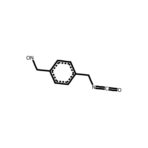 O=C=NCc1ccc(CN=O)cc1